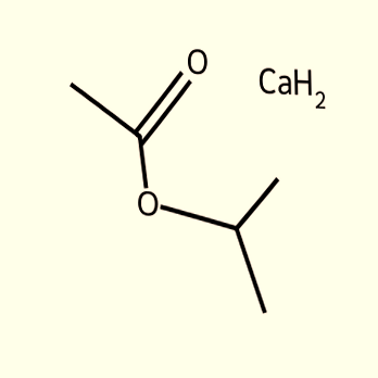 CC(=O)OC(C)C.[CaH2]